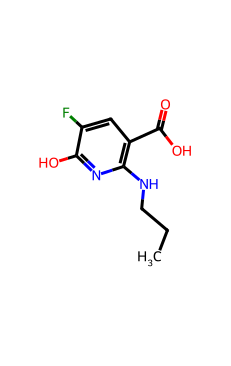 CCCNc1nc(O)c(F)cc1C(=O)O